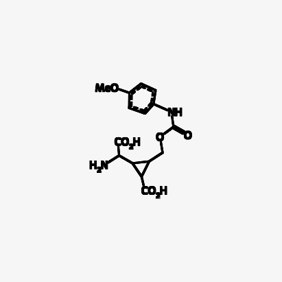 COc1ccc(NC(=O)OCC2C(C(=O)O)C2C(N)C(=O)O)cc1